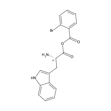 N[C@@H](Cc1c[nH]c2ccccc12)C(=O)OC(=O)c1ccccc1Br